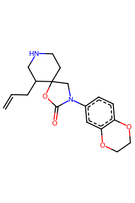 C=CCC1CNCCC12CN(c1ccc3c(c1)OCCO3)C(=O)O2